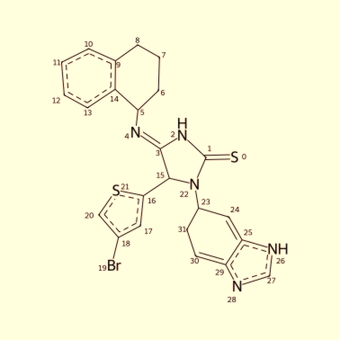 S=C1N/C(=N\C2CCCc3ccccc32)C(c2cc(Br)cs2)N1C1C=c2[nH]cnc2=CC1